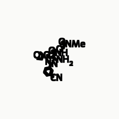 CNC(=O)CONC(=O)c1c(N)nc(-c2cccc(C#N)c2)nc1O[C@H]1CCOC1